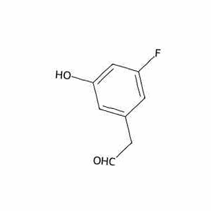 O=CCc1cc(O)cc(F)c1